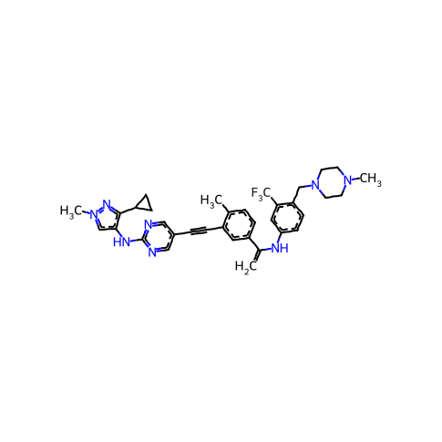 C=C(Nc1ccc(CN2CCN(C)CC2)c(C(F)(F)F)c1)c1ccc(C)c(C#Cc2cnc(Nc3cn(C)nc3C3CC3)nc2)c1